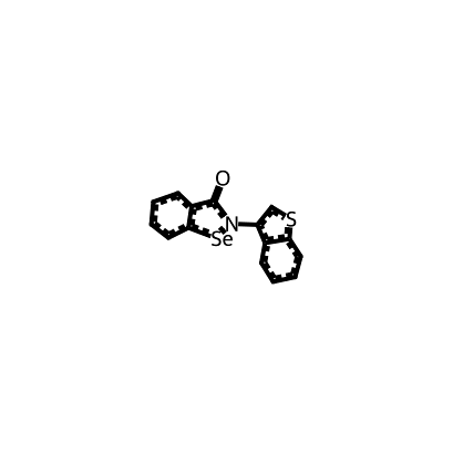 O=c1c2ccccc2[se]n1-c1csc2ccccc12